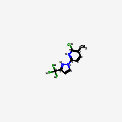 Cc1ccc(-n2ccc(C(F)(F)F)n2)nc1Cl